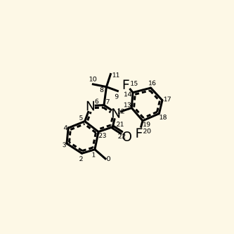 Cc1cccc2nc(C(C)(C)C)n(-c3c(F)cccc3F)c(=O)c12